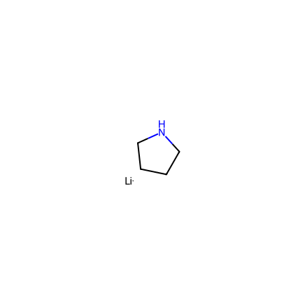 C1CCNC1.[Li]